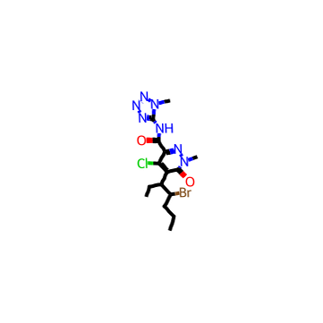 CCCC(Br)C(CC)c1c(Cl)c(C(=O)Nc2nnnn2C)nn(C)c1=O